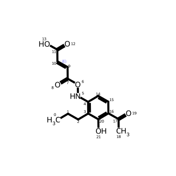 CCCc1c(NOC(=O)/C=C/C(=O)O)ccc(C(C)=O)c1O